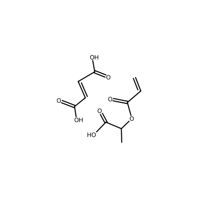 C=CC(=O)OC(C)C(=O)O.O=C(O)C=CC(=O)O